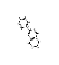 [c]1ccccc1-c1ccc2c(c1)CCCC2